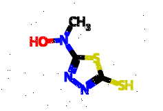 CN(O)c1nnc(S)s1